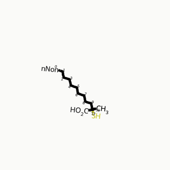 CCCCCCCCCCCCCCCCCCC(C)(S)C(=O)O